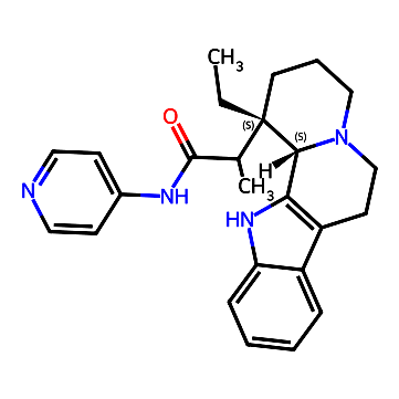 CC[C@@]1(C(C)C(=O)Nc2ccncc2)CCCN2CCc3c([nH]c4ccccc34)[C@@H]21